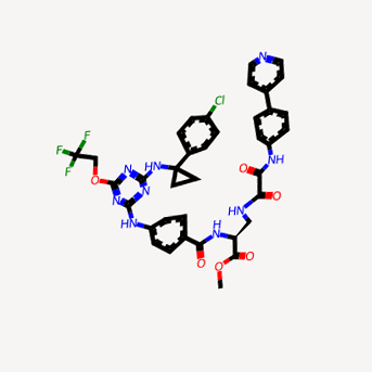 COC(=O)[C@H](CNC(=O)C(=O)Nc1ccc(-c2ccncc2)cc1)NC(=O)c1ccc(Nc2nc(NC3(c4ccc(Cl)cc4)CC3)nc(OCC(F)(F)F)n2)cc1